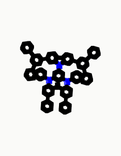 c1ccc(-c2cc(-c3ccccc3)cc(-c3ccc4c5ccc(-c6cc(-c7ccccc7)cc(-c7ccccc7)c6)cc5n(-c5cc6c7c(c5)N(c5ccccc5)c5ccc(-c8ccccc8)cc5B7c5cc(-c7ccccc7)ccc5N6c5ccccc5)c4c3)c2)cc1